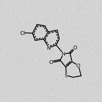 O=C1C2=C(SCCO2)C(=O)N1c1ccc2ccc(Cl)cc2n1